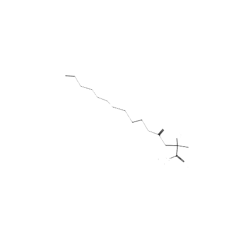 CCCCCCCCCCCC(=O)CC(C)(O)C(N)=O